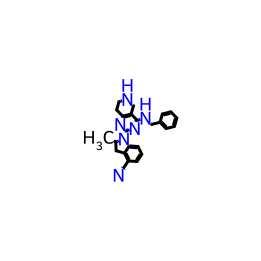 CC1Cc2c(C#N)cccc2N1c1nc2c(c(NCc3ccccc3)n1)CNCC2